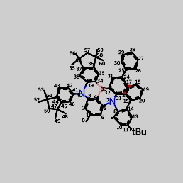 Cc1cc2c3c(c1)N(c1ccc(C(C)(C)C)cc1-c1ccccc1)c1ccc(-c4ccccc4)cc1B3c1cc3c(cc1N2c1ccc2c(c1)C(C)(C)CC2(C)C)C(C)(C)CC3(C)C